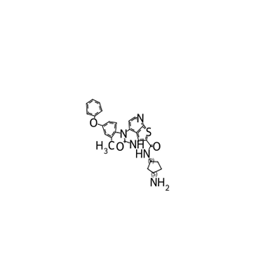 Cc1cc(Oc2ccccc2)ccc1N1C(=O)Nc2c(C(=O)N[C@@H]3CC[C@H](N)C3)sc3nccc1c23